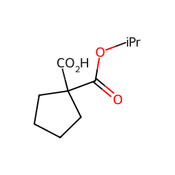 CC(C)OC(=O)C1(C(=O)O)CCCC1